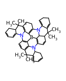 CC1(C)C2=CC=CCC2N2C3=C4B5C6=C(CCC7=C6N(C6=CC=CCC6C7(C)C)c6ccc1c2c65)N1C2=CCCC=C2C(C)(C)C(C=C3)C41